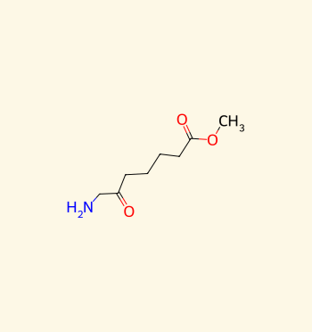 COC(=O)CCCCC(=O)CN